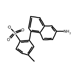 Cc1ccc(S([O])(=O)=O)c(-c2cccc3cc(N)ccc23)c1